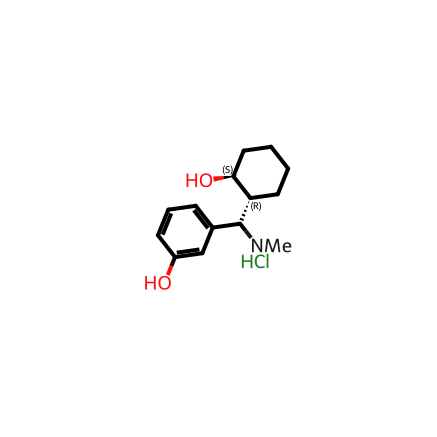 CNC(c1cccc(O)c1)[C@H]1CCCC[C@@H]1O.Cl